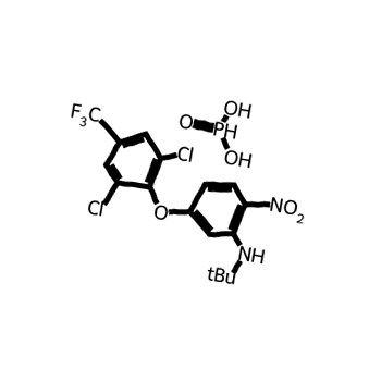 CC(C)(C)Nc1cc(Oc2c(Cl)cc(C(F)(F)F)cc2Cl)ccc1[N+](=O)[O-].O=[PH](O)O